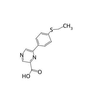 CCSc1ccc(-c2cncc(C(=O)O)n2)cc1